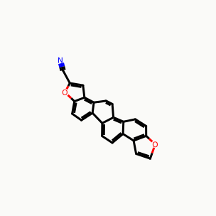 N#Cc1cc2c(ccc3c2ccc2c4ccc5occc5c4ccc32)o1